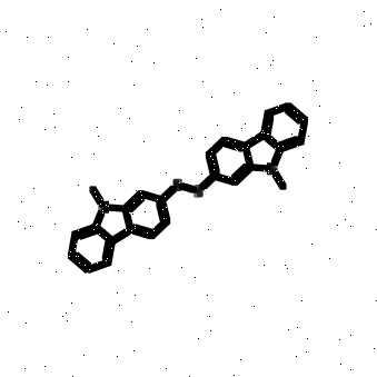 Cn1c2ccccc2c2ccc(SSc3ccc4c5ccccc5n(C)c4c3)cc21